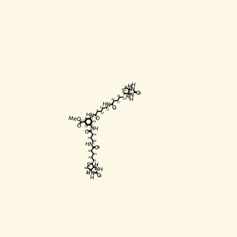 COC(=O)c1cc(NC(=O)CCCCNC(=O)CCCC[C@@H]2SC[C@@H]3NC(=O)N[C@@H]32)cc(NC(=O)CCCNC(=O)CCCC[C@@H]2SC[C@@H]3NC(=O)N[C@@H]32)c1